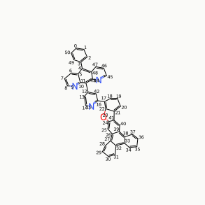 c1ccc(-c2c3cccnc3c(-c3ccnc(-c4cccc5c4oc4cc6c7ccccc7c7ccccc7c6cc45)c3)c3ncccc23)cc1